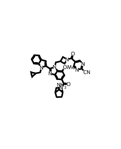 COc1cc(C(=O)N2CC3CCC2C3N)cc2nc(-c3cc4ccccc4n3CC3CC3)n(CC3CN(C(=O)c4cnc(C#N)nc4)C3)c12